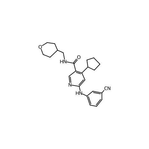 N#Cc1cccc(Nc2cc(C3CCCC3)c(C(=O)NCC3CCOCC3)cn2)c1